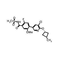 COc1cc(C(=O)NS(C)(=O)=O)c(F)cc1-c1cnc(O[C@H]2C[C@H](C)C2)c(Cl)c1